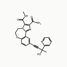 CNC(=O)c1c(C(N)=O)nc2n1CCOc1ccc(C#CC(C)(O)c3ccccn3)cc1-2